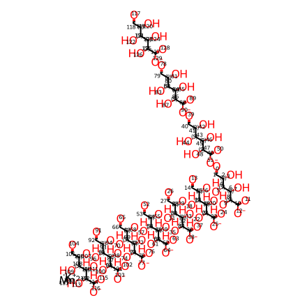 O=C[C@H](O)[C@@H](O)[C@@H](O)[C@H](O)C(=O)[O-].O=C[C@H](O)[C@@H](O)[C@@H](O)[C@H](O)C(=O)[O-].O=C[C@H](O)[C@@H](O)[C@@H](O)[C@H](O)C(=O)[O-].O=C[C@H](O)[C@@H](O)[C@@H](O)[C@H](O)C(=O)[O-].O=C[C@H](O)[C@@H](O)[C@@H](O)[C@H](O)C(=O)[O-].O=C[C@H](O)[C@@H](O)[C@@H](O)[C@H](O)C(=O)[O-].O=C[C@H](O)[C@@H](O)[C@@H](O)[C@H](O)C(=O)[O-].O=C[C@H](O)[C@@H](O)[C@@H](O)[C@H](O)C(=O)[O-].O=C[C@H](O)[C@@H](O)[C@@H](O)[C@H](O)C(=O)[O-].O=C[C@H](O)[C@@H](O)[C@@H](O)[C@H](O)C(=O)[O-].[K+].[Mn+2]